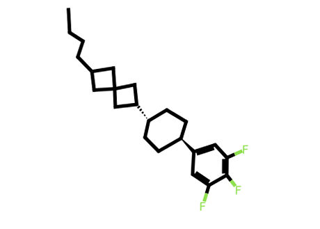 CCCCC1CC2(C1)CC([C@H]1CC[C@H](c3cc(F)c(F)c(F)c3)CC1)C2